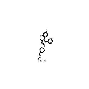 Cc1nn(C[C@H]2CC[C@@H](COCC(=O)O)CC2)c(-c2ccccc2)c1-c1ccc(F)cc1F